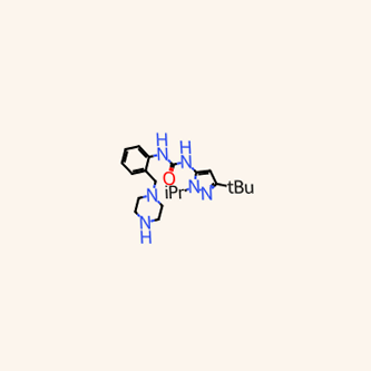 CC(C)n1nc(C(C)(C)C)cc1NC(=O)Nc1ccccc1CN1CCNCC1